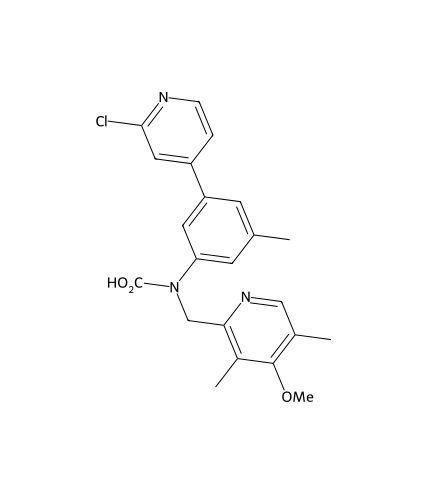 COc1c(C)cnc(CN(C(=O)O)c2cc(C)cc(-c3ccnc(Cl)c3)c2)c1C